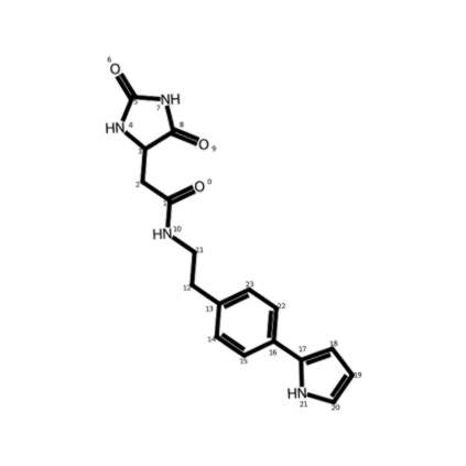 O=C(CC1NC(=O)NC1=O)NCCc1ccc(-c2ccc[nH]2)cc1